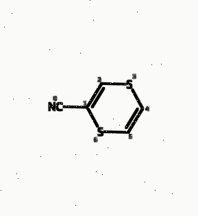 N#CC1=CSC=CS1